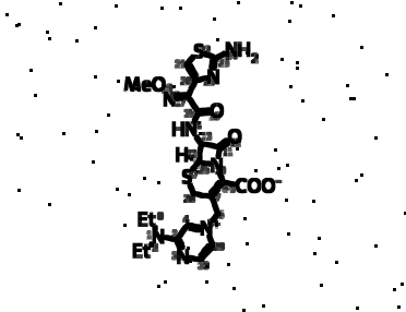 CCN(CC)c1c[n+](CC2=C(C(=O)[O-])N3C(=O)C(NC(=O)C(=NOC)c4csc(N)n4)[C@@H]3SC2)ccn1